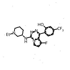 CCN1CCC[C@@H](Nc2nnc(-c3ccc(C(F)(F)F)cc3O)c3c(F)ccn23)C1